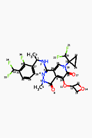 C[C@@H](Nc1nn(C)c(=O)c2c(OC3COC3)c(=O)n(C3(C(F)F)CC3)cc12)c1cccc(C(F)F)c1F